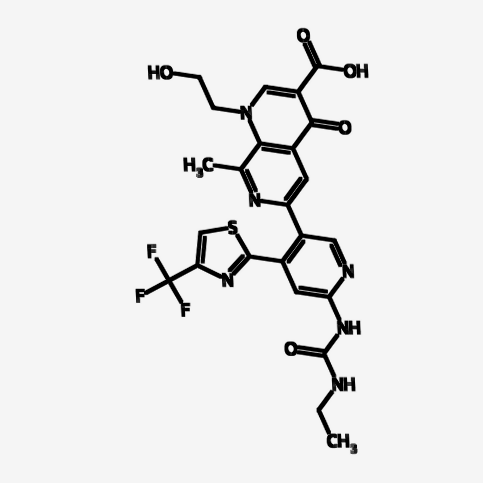 CCNC(=O)Nc1cc(-c2nc(C(F)(F)F)cs2)c(-c2cc3c(=O)c(C(=O)O)cn(CCO)c3c(C)n2)cn1